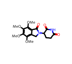 COc1c2c(c(OC)c(OC)c1OC)C(=O)N(C1CCC(=O)NC1=O)C2